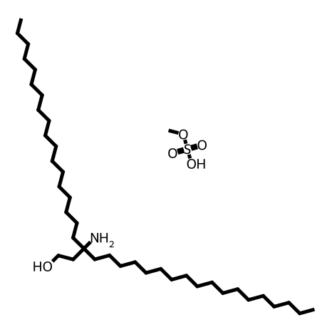 CCCCCCCCCCCCCCCCCCC(N)(CCO)CCCCCCCCCCCCCCCCCC.COS(=O)(=O)O